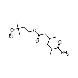 CCOC(C)(C)CCOC(=O)CC(C)CC(C)C(N)=O